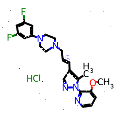 COc1cccnc1-n1ncc(/C=C/CN2CCN(c3cc(F)cc(F)c3)CC2)c1C.Cl